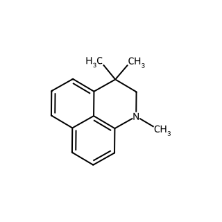 CN1CC(C)(C)c2cccc3cccc1c23